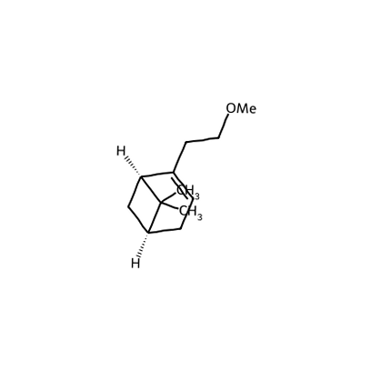 COCCC1=CC[C@H]2C[C@@H]1C2(C)C